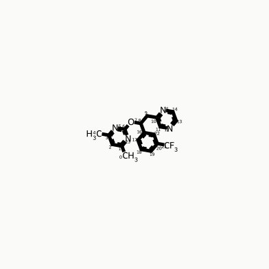 Cc1cc(C)nc(OC(Cc2cnccn2)c2cccc(C(F)(F)F)c2)n1